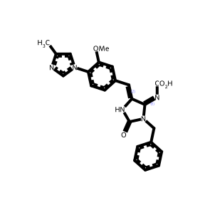 COc1cc(/C=C2\NC(=O)N(Cc3ccccc3)\C2=N\C(=O)O)ccc1-n1cnc(C)c1